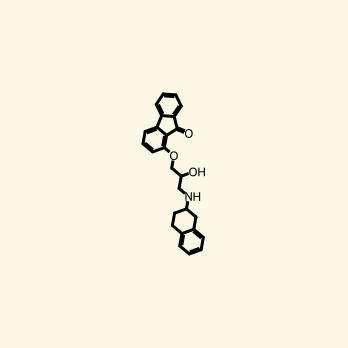 O=C1c2ccccc2-c2cccc(OCC(O)CNC3CCc4ccccc4C3)c21